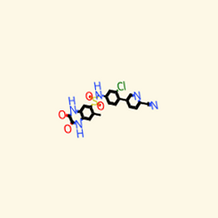 Cc1cc2[nH]c(=O)c(=O)[nH]c2cc1S(=O)(=O)Nc1ccc(-c2ccc(C#N)nc2)c(Cl)c1